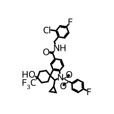 O=C(NCc1ccc(F)cc1Cl)c1ccc2c(c1)C1(CCC(O)(C(F)(F)F)CC1)C(C1CC1)N2S(=O)(=O)c1ccc(F)cc1